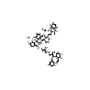 CCCCC[N+]1=C(/C=C/C2=C(Oc3ccc(S(=O)(=O)O)cc3)C(=C/C=C3/N(CCCC(=O)NCCC(=O)N4Cc5ccccc5C#Cc5ccccc54)c4ccc(C)cc4C3(C)C)/CCC2)C(C)(C)c2ccccc21